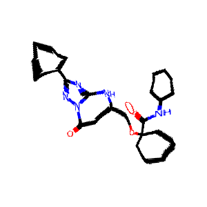 O=C(NC1CCCCC1)C1(OCc2cc(=O)n3nc(-c4ccccc4)nc3[nH]2)CCCCC1